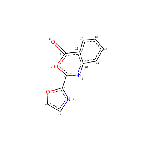 O=c1oc(-c2ncco2)nc2ccccc12